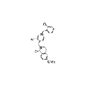 COc1ccc2c(c1)CCN(CC1C=CN(Cc3ccccc3Cl)C=C1C(C)=O)C2=O